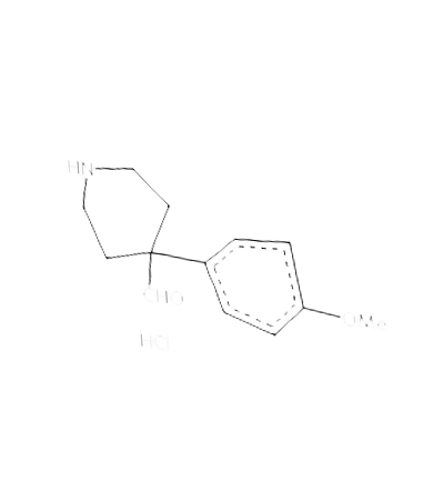 COc1ccc(C2(C=O)CCNCC2)cc1.Cl